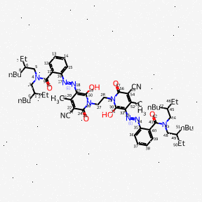 CCCCC(CC)CN(CC(CC)CCCC)C(=O)c1ccccc1/N=N/c1c(C)c(C#N)c(=O)n(CCn2c(O)c(/N=N/c3ccccc3C(=O)N(CC(CC)CCCC)CC(CC)CCCC)c(C)c(C#N)c2=O)c1O